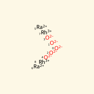 [O-2].[O-2].[O-2].[O-2].[O-2].[Ra+2].[Ra+2].[Rh+3].[Rh+3]